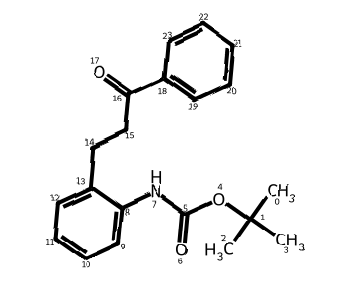 CC(C)(C)OC(=O)Nc1ccccc1CCC(=O)c1ccccc1